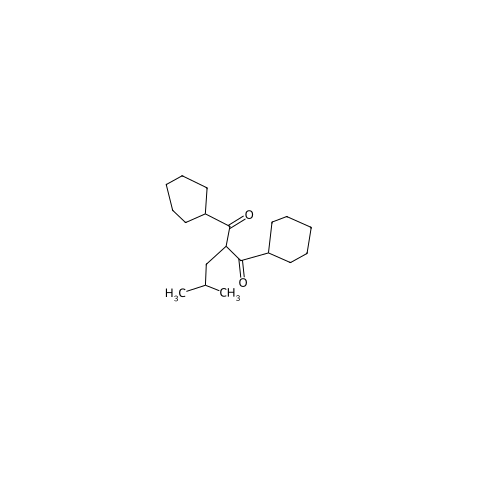 CC(C)CC(C(=O)C1CCCCC1)C(=O)C1CCCCC1